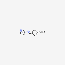 COc1ccc(CNC2CN3CCC2CC3)cc1